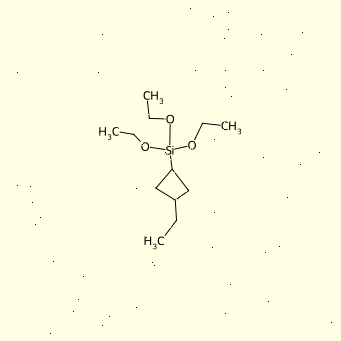 CCO[Si](OCC)(OCC)C1CC(CC)C1